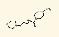 CC1CCN(C(=O)NCCCN2CCOCC2)CC1